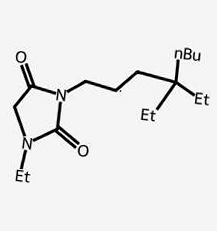 CCCCC(CC)(CC)C[CH]CN1C(=O)CN(CC)C1=O